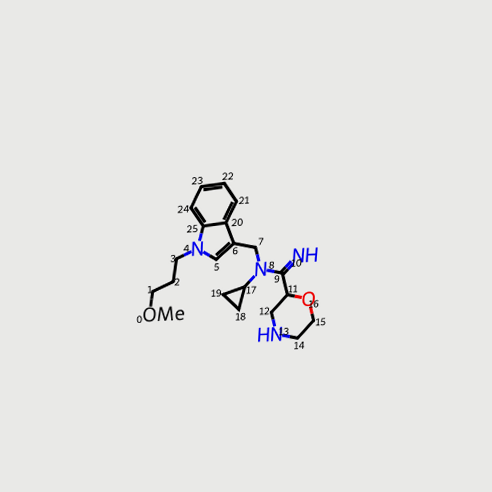 COCCCn1cc(CN(C(=N)C2CNCCO2)C2CC2)c2ccccc21